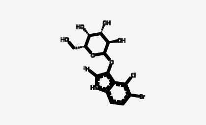 [2H]c1[nH]c2ccc(Br)c(Cl)c2c1OC1O[C@H](CO)[C@H](O)[C@H](O)[C@H]1O